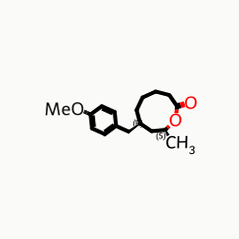 COc1ccc(C[C@H]2CCCCC(=O)O[C@@H](C)C2)cc1